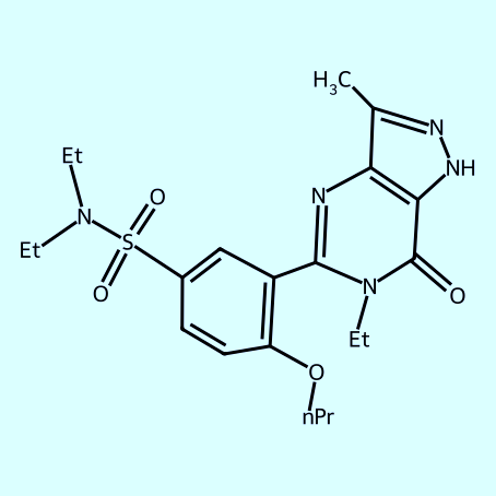 CCCOc1ccc(S(=O)(=O)N(CC)CC)cc1-c1nc2c(C)n[nH]c2c(=O)n1CC